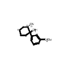 COc1cccc(C2(O)CCCC[C@@H]2C#N)c1